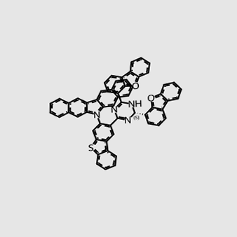 c1ccc2cc3c(cc2c1)c1cc2ccccc2cc1n3-c1cc2sc3ccccc3c2cc1C1=N[C@@H](c2cccc3c2oc2ccccc23)NC(c2cccc3c2oc2ccccc23)=N1